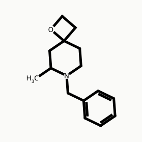 CC1CC2(CCO2)CCN1Cc1ccccc1